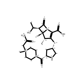 CC(O)[C@H]1C(=O)N2C(C(=O)O)=C(S[C@@H]3CN[C@H](C(=O)N4CC[N+](C)(CC(N)=O)CC4)C3)[C@H](C)[C@H]12